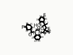 CC(C)(CC(O)(CN1CCN(C(=O)c2cccc(F)c2)c2ccccc21)C(F)(F)F)c1cc(F)ccc1O